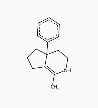 CC1=C2CCCC2(c2ccccc2)CCN1